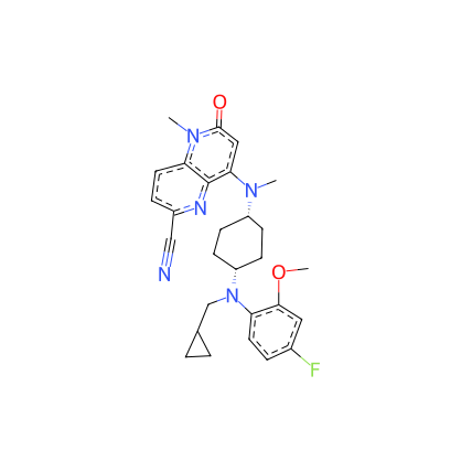 COc1cc(F)ccc1N(CC1CC1)[C@H]1CC[C@@H](N(C)c2cc(=O)n(C)c3ccc(C#N)nc23)CC1